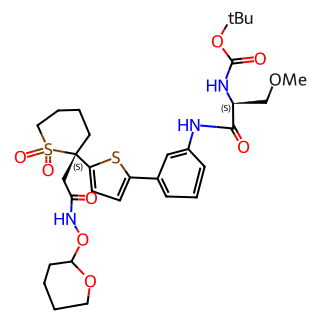 COC[C@H](NC(=O)OC(C)(C)C)C(=O)Nc1cccc(-c2ccc([C@@]3(CC(=O)NOC4CCCCO4)CCCCS3(=O)=O)s2)c1